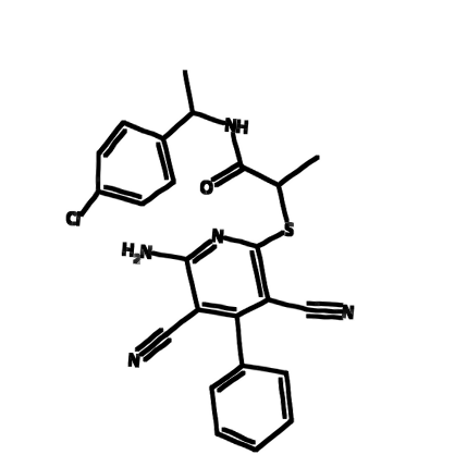 CC(Sc1nc(N)c(C#N)c(-c2ccccc2)c1C#N)C(=O)NC(C)c1ccc(Cl)cc1